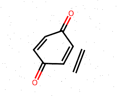 C=C.O=C1C=CC(=O)C=C1